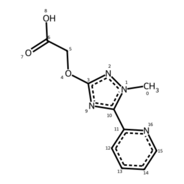 Cn1nc(OCC(=O)O)nc1-c1ccccn1